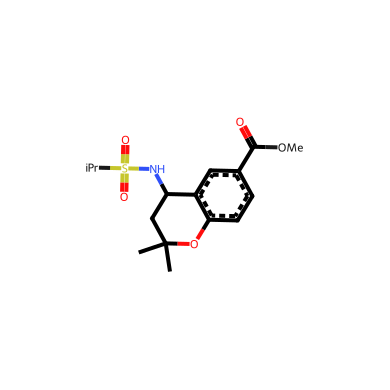 COC(=O)c1ccc2c(c1)C(NS(=O)(=O)C(C)C)CC(C)(C)O2